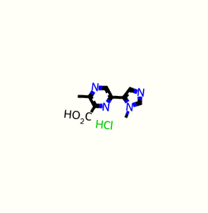 Cc1ncc(-c2cncn2C)nc1C(=O)O.Cl